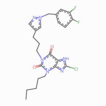 CCCCCn1c(=O)n(CCCc2cnn(Cc3ccc(F)c(F)c3)c2)c(=O)c2[nH]c(Cl)nc21